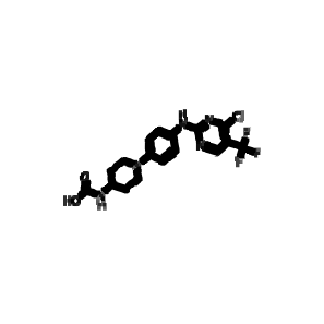 O=C(O)NC1CCN(c2ccc(Nc3ncc(C(F)(F)F)c(Cl)n3)cc2)CC1